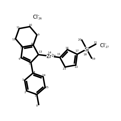 Cc1ccc(C2=CC3=C(CCCC3)[CH]2[Zr+2][C]2=CC([Si](C)(C)C)=CC2)cc1.[Cl-].[Cl-]